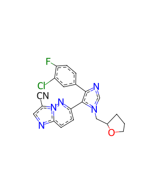 N#Cc1cnc2ccc(-c3c(-c4ccc(F)c(Cl)c4)ncn3CC3CCCO3)nn12